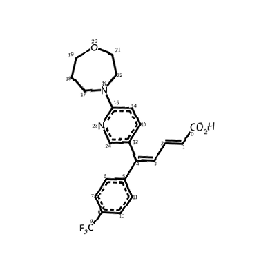 O=C(O)/C=C/C=C(/c1ccc(C(F)(F)F)cc1)c1ccc(N2CCCOCC2)nc1